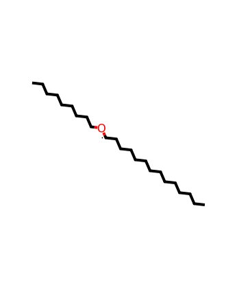 CCCCCCCCCCCCC[CH]OCCCCCCCCC